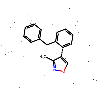 Cc1nocc1-c1ccccc1Cc1ccccc1